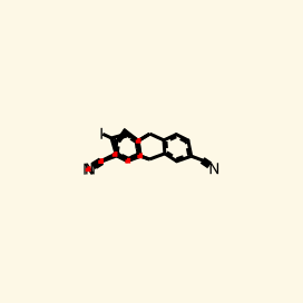 N#Cc1ccc2c(c1)C1c3cc(C#N)ccc3C2c2cc(I)c(C#N)cc21